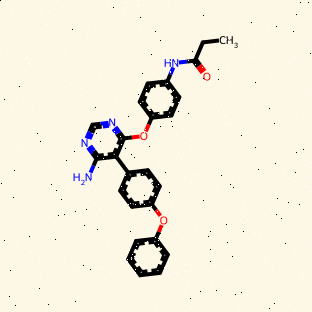 CCC(=O)Nc1ccc(Oc2ncnc(N)c2-c2ccc(Oc3ccccc3)cc2)cc1